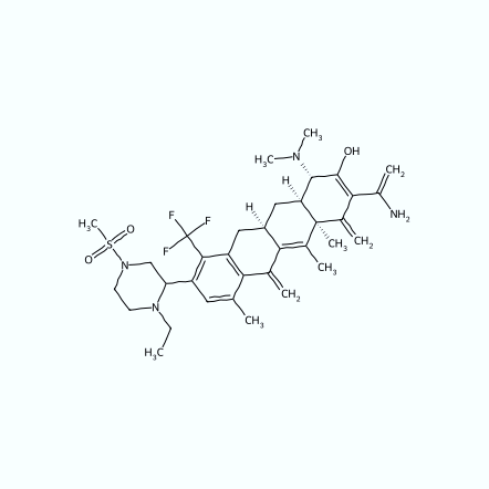 C=C(N)C1=C(O)[C@@H](N(C)C)[C@@H]2C[C@@H]3Cc4c(c(C)cc(C5CN(S(C)(=O)=O)CCN5CC)c4C(F)(F)F)C(=C)C3=C(C)[C@]2(C)C1=C